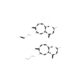 CC(C)CCOc1cc2c(=O)cc(C(=O)O)[nH]c2ccc1=O.CC=CCOc1cc2c(=O)cc(C(=O)O)[nH]c2ccc1=O